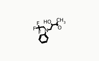 CC(=O)C(O)CN(CC(F)(F)F)c1ccccc1